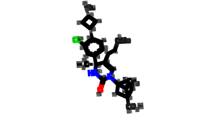 COCCC1=CN(C23CCC(C(=O)O)(C2)[C@@H]3C)C(=O)N[C@@]1(C)c1ccc([C@H]2C[C@@H](C(C)(C)C)C2)c(Cl)c1